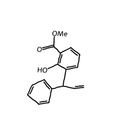 C=CC(c1ccccc1)c1cccc(C(=O)OC)c1O